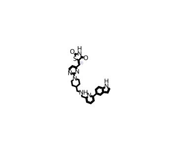 O=C1NC(=O)/C(=C/c2ccnc(N3CCC(CNCc4cccc(-c5ccc6[nH]ccc6c5)n4)CC3)n2)S1